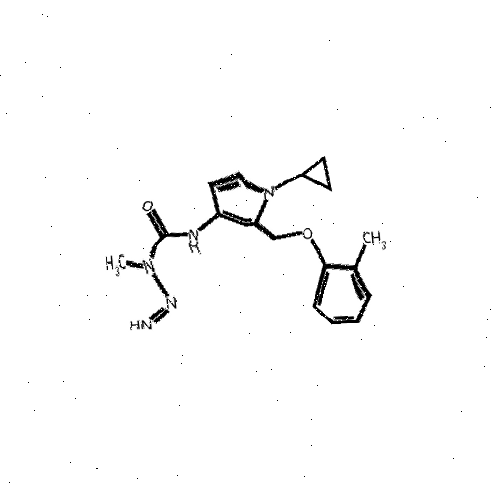 Cc1ccccc1OCc1c(NC(=O)N(C)N=N)ccn1C1CC1